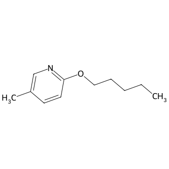 CCCCCOc1ccc(C)cn1